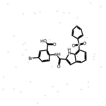 O=C(Nc1ccc(Br)cc1C(=O)O)c1cc2cccc(S(=O)(=O)c3ccccc3)c2[nH]1